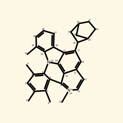 Cc1cc(C)c2c(c1C)c1c3c(cc[n+]1C)cc(C1CC4CCC1C4)c1c4cccc(C)c4n2c13